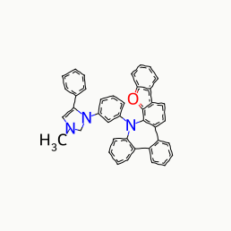 CN1C=C(c2ccccc2)N(c2cccc(N3c4ccccc4-c4ccccc4-c4ccc5c(oc6ccccc65)c43)c2)C1